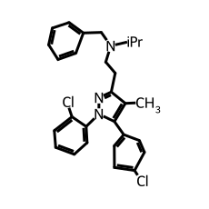 Cc1c(CCN(Cc2ccccc2)C(C)C)nn(-c2ccccc2Cl)c1-c1ccc(Cl)cc1